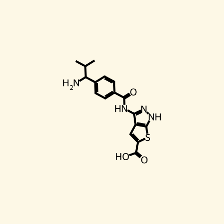 CC(C)C(N)c1ccc(C(=O)Nc2n[nH]c3sc(C(=O)O)cc23)cc1